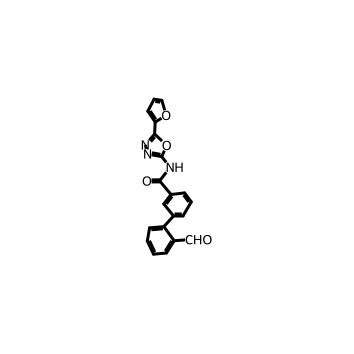 O=Cc1ccccc1-c1cccc(C(=O)Nc2nnc(-c3ccco3)o2)c1